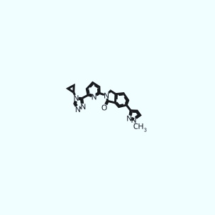 Cn1ccc(-c2ccc3c(c2)C(=O)N(c2cccc(-c4nncn4C4CC4)n2)C3)n1